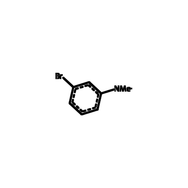 C[N]c1cccc(Br)c1